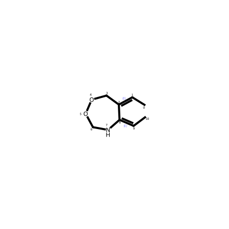 C/C=C1/COOCN/C1=C/C